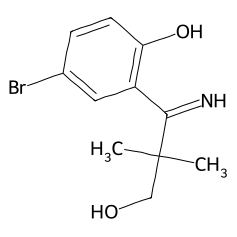 CC(C)(CO)C(=N)c1cc(Br)ccc1O